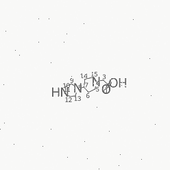 O=C(O)CN1CCC(N2CCNCC2)CC1